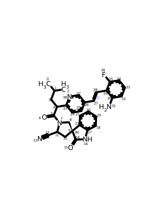 CC(C)CC(C(=O)N1C[C@]2(CC1C#N)C(=O)Nc1ccccc12)c1ccc(/C=C/c2c(N)cccc2F)cn1